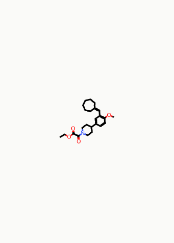 CCOC(=O)C(=O)N1CCC(c2ccc(OC)c(C=C3CCCCCC3)c2)CC1